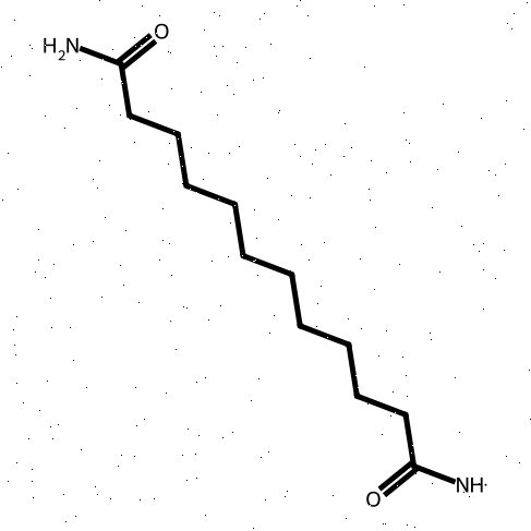 [NH]C(=O)CCCCCCCCCCC(N)=O